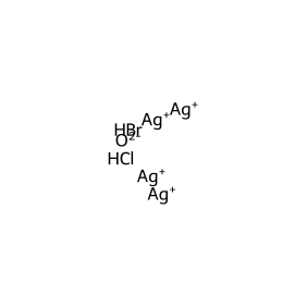 Br.Cl.[Ag+].[Ag+].[Ag+].[Ag+].[O-2]